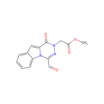 COC(=O)Cn1nc(C=O)n2c(cc3ccccc32)c1=O